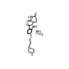 O=C1CCC(N2C(=O)c3ccc(OCCCN4CCNCC4)cc3C2=O)C(=O)N1.O=CO